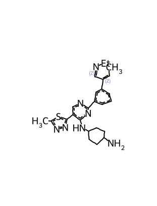 C/C=C(\C=N/CC)c1cccc(-c2ncc(-c3nnc(C)s3)c(NC3CCC(N)CC3)n2)c1